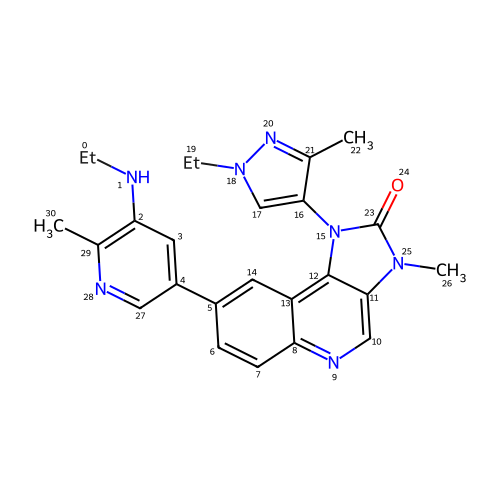 CCNc1cc(-c2ccc3ncc4c(c3c2)n(-c2cn(CC)nc2C)c(=O)n4C)cnc1C